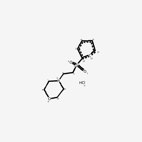 Cl.O=S(=O)(CCN1CCOCC1)c1ccccc1